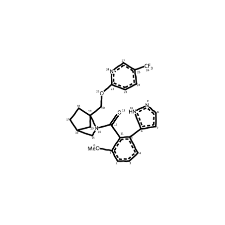 COc1cccc(-c2ccn[nH]2)c1C(=O)N1CC2CCC1(COc1ccc(C(F)(F)F)cn1)C2